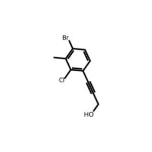 Cc1c(Br)ccc(C#CCO)c1Cl